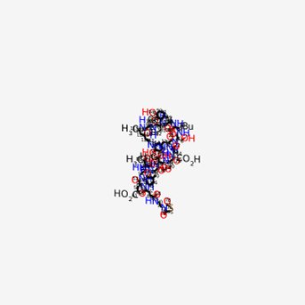 CC[C@H](C)[C@H](NC(=O)[C@H](CO)NC(=O)[C@H](Cc1ccc(O)cc1)NC(=O)[C@H](CC(=O)O)NC(=O)[C@H](CO)NC(=O)[C@@H](NC(=O)[C@H](Cc1ccccc1)NC(=O)[C@@H](NC(=O)CNC(=O)[C@H](CCC(=O)O)NC(=O)CCC(=O)NCCN1C(=O)CSC1=O)[C@@H](C)O)[C@@H](C)O)C(=O)N[C@@H](Cc1ccc(O)cc1)C(=O)N[C@@H](CC(C)C)C(=O)N[C@@H](CC(=O)O)C(=O)N[C@H](C)CCCCN